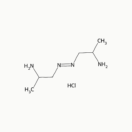 CC(N)CN=NCC(C)N.Cl